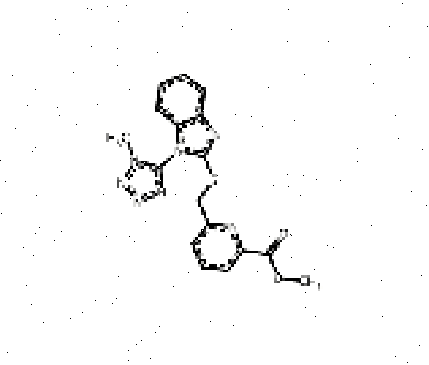 COC(=O)c1cccc(CSc2nc3ccccc3n2-c2nnnn2C)n1